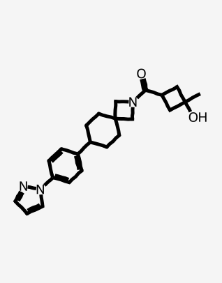 CC1(O)CC(C(=O)N2CC3(CCC(c4ccc(-n5cccn5)cc4)CC3)C2)C1